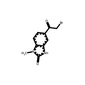 Cn1c(=O)[nH]c2cc(C(=O)CBr)ccc21